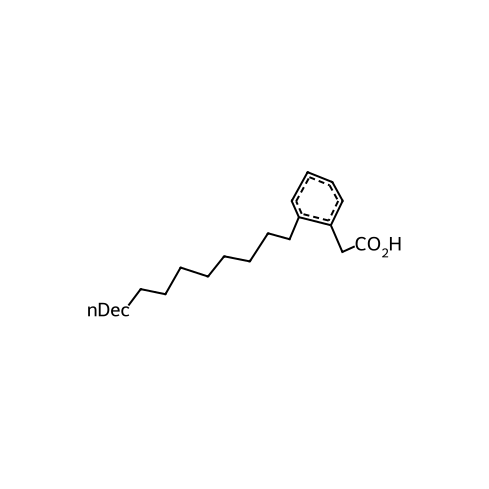 CCCCCCCCCCCCCCCCCCc1ccccc1CC(=O)O